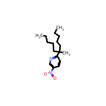 CCCCCC(C)(CCCCC)c1ccc([N+](=O)[O-])cn1